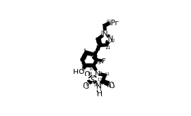 CC(C)Cn1cc(-c2ccc(O)c(N3CC(=O)NS3(=O)=O)c2F)cn1